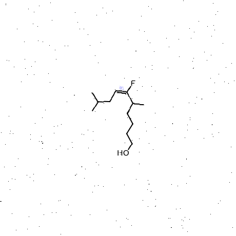 CC(C)C/C=C(/F)C(C)CCCCO